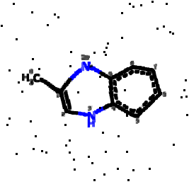 CC1=CNc2ccccc2[N]1